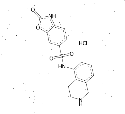 Cl.O=c1[nH]c2ccc(S(=O)(=O)Nc3cccc4c3CCNC4)cc2o1